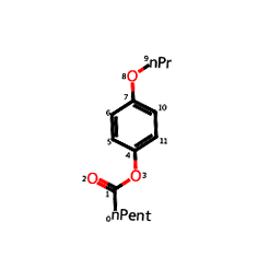 CCCCCC(=O)Oc1ccc(OCCC)cc1